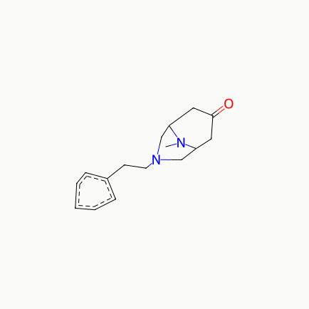 CN1C2CC(=O)CC1CN(CCc1ccccc1)C2